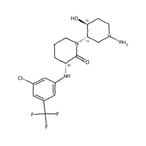 O=C1[C@H](Nc2cc(Cl)cc(C(F)(F)F)c2)CCCN1[C@H]1CN(P)CC[C@@H]1O